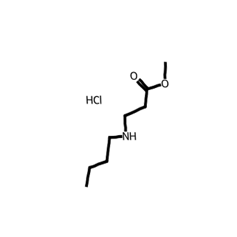 CCCCNCCC(=O)OC.Cl